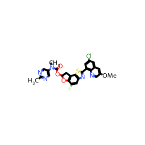 COc1cnc2c(-c3nc4cc(F)c5c(c4s3)CC(OC(=O)N(C)c3cnc(C)nc3)O5)cc(Cl)cc2c1